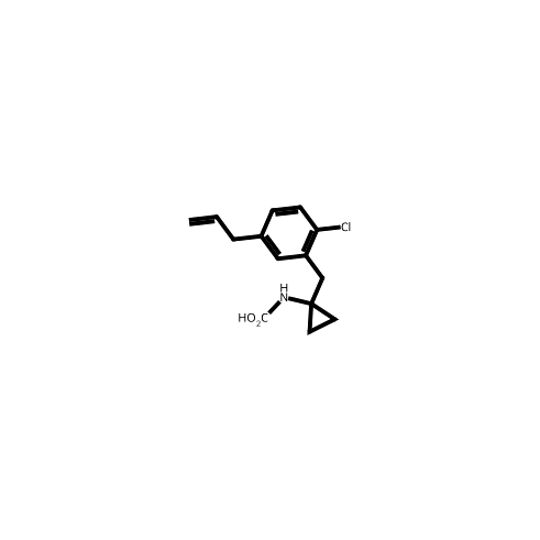 C=CCc1ccc(Cl)c(CC2(NC(=O)O)CC2)c1